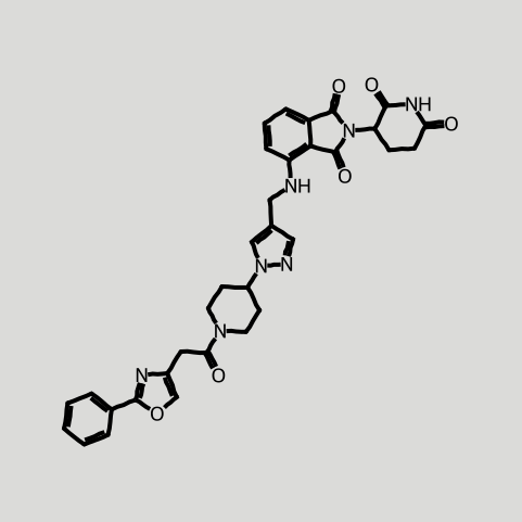 O=C1CCC(N2C(=O)c3cccc(NCc4cnn(C5CCN(C(=O)Cc6coc(-c7ccccc7)n6)CC5)c4)c3C2=O)C(=O)N1